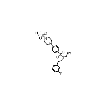 CC(C)CN(CCc1cccc(F)c1)S(=O)(=O)c1ccc(N2CCN(S(C)(=O)=O)CC2)cc1